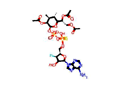 CC(=O)OC[C@@H](OC(C)=O)C1O[C@@H](OP(=O)(O)OP(O)(=S)OC[C@H]2O[C@@H](n3cnc4c(N)ncnc43)C(O)[C@H]2F)C(OC(C)=O)[C@@H](C)[C@@H]1C